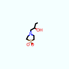 CCC(O)CN1CCS(=O)(=O)CC1